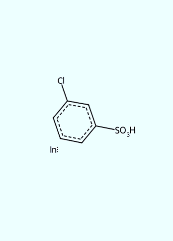 O=S(=O)(O)c1cccc(Cl)c1.[In]